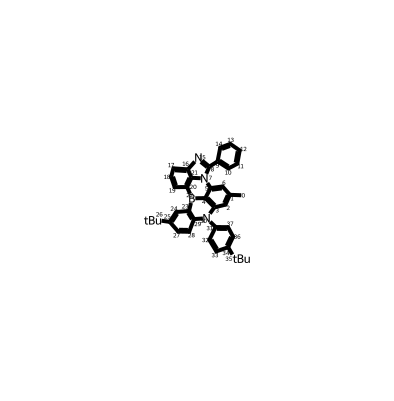 Cc1cc2c3c(c1)-n1c(-c4ccccc4)nc4cccc(c41)B3c1cc(C(C)(C)C)ccc1N2c1ccc(C(C)(C)C)cc1